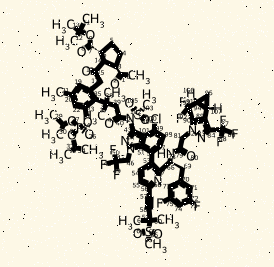 CC(=O)[C@@H]1CC[C@@H](C(=O)OC(C)(C)C)C1C(=O)Cc1cc(C)cc(OP(=O)(OC(C)C)OC(C)C)c1C(C)(C)CC(=O)N(c1nn(CC(F)(F)F)c2c(-c3ccc(C#CC(C)(C)S(C)(=O)=O)nc3[C@H](Cc3cc(F)cc(F)c3)NC(=O)Cn3nc(C(F)(F)F)c4c3C(F)(F)[C@@H]3C[C@H]43)ccc(Cl)c12)S(C)(=O)=O